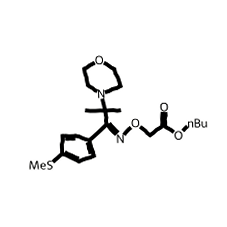 CCCCOC(=O)CO/N=C(/c1ccc(SC)cc1)C(C)(C)N1CCOCC1